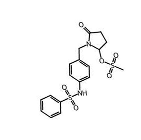 CS(=O)(=O)OC1CCC(=O)N1Cc1ccc(NS(=O)(=O)c2ccccc2)cc1